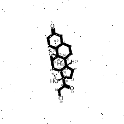 C[C@]12CCC(=O)CC1CC[C@H]1[C@@H]3CC[C@](O)(C(=O)CCl)[C@@]3(C)CC3O[C@]312